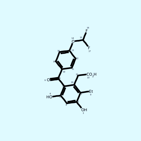 CCc1c(O)cc(O)c(C(=O)c2ccc(OC(F)F)cc2)c1CC(=O)O